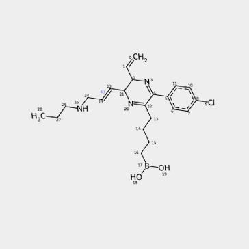 C=CC1N=C(c2ccc(Cl)cc2)C(CCCCB(O)O)=NC1/C=C/CNCCC